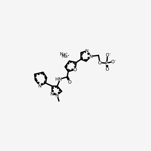 Cn1cc(NC(=O)c2ccc(-c3cnn(COP(=O)([O-])[O-])c3)o2)c(-c2ccccn2)n1.[Na+].[Na+]